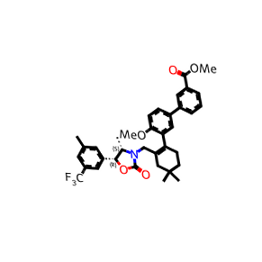 COC(=O)c1cccc(-c2ccc(OC)c(C3=C(CN4C(=O)O[C@H](c5cc(C)cc(C(F)(F)F)c5)[C@@H]4C)CC(C)(C)CC3)c2)c1